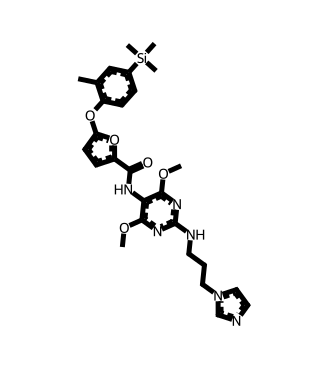 COc1nc(NCCCn2ccnc2)nc(OC)c1NC(=O)c1ccc(Oc2ccc([Si](C)(C)C)cc2C)o1